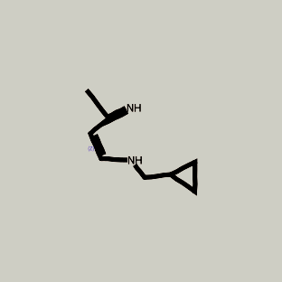 CC(=N)/C=C\NCC1CC1